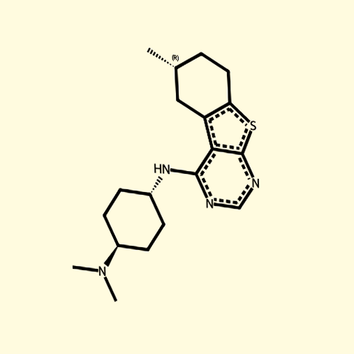 C[C@@H]1CCc2sc3ncnc(N[C@H]4CC[C@H](N(C)C)CC4)c3c2C1